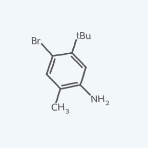 Cc1cc(Br)c(C(C)(C)C)cc1N